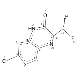 O=c1[nH]c2cc(Cl)ccc2nc1C(F)F